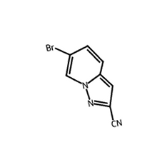 N#Cc1cc2ccc(Br)cn2n1